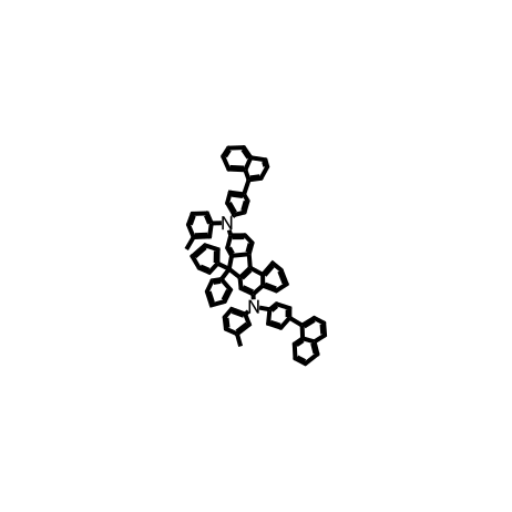 Cc1cccc(N(c2ccc(-c3cccc4ccccc34)cc2)c2ccc3c(c2)C(c2ccccc2)(c2ccccc2)c2cc(N(c4ccc(-c5cccc6ccccc56)cc4)c4cccc(C)c4)c4ccccc4c2-3)c1